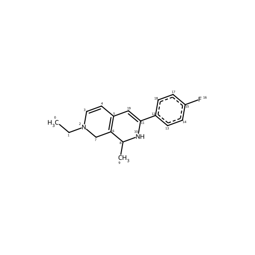 CCN1C=CC2=C(C1)C(C)NC(c1ccc(F)cc1)=C2